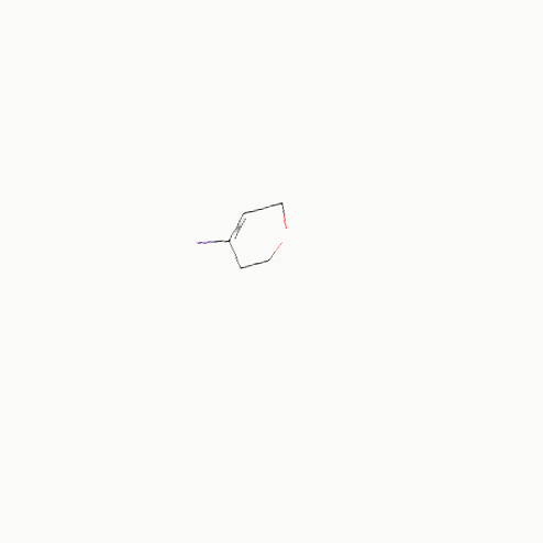 IC1=CCOCC1